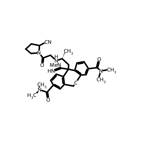 CNC(=N)C1(C[C@@H](C)NCC(=O)N2CCCC2C#N)c2ccc(C(=O)N(C)C)cc2CCc2cc(C(=O)N(C)C)ccc21